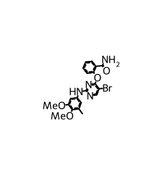 COc1cc(Nc2ncc(Br)c(Oc3ccccc3C(N)=O)n2)cc(C)c1OC